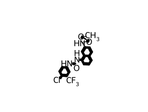 CS(=O)(=O)Nc1ccc2cccc(NC(=O)Nc3ccc(Cl)c(C(F)(F)F)c3)c2c1